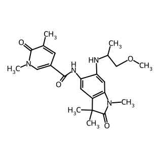 COCC(C)Nc1cc2c(cc1NC(=O)c1cc(C)c(=O)n(C)c1)C(C)(C)C(=O)N2C